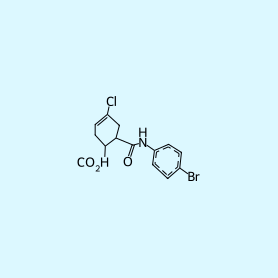 O=C(O)C1CC=C(Cl)CC1C(=O)Nc1ccc(Br)cc1